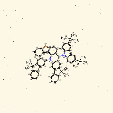 CC(C)(C)c1ccc2c(c1)c1cc(C(C)(C)C)cc3c1n2B1c2cc4c(cc2N(c2ccc5c(c2)-c2ccccc2C5(C)C)c2c1c-3cc1sc3ccccc3c21)-c1ccccc1C4(C)C